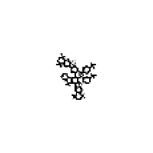 CC(C)(C)c1ccc(N2B3c4cc(C(C)(C)C)ccc4-n4c5cc6c(cc5c5c7c(c(c3c54)-c3cc4c(cc32)sc2cc3c(cc24)C(C)(C)CCC3(C)C)-c2ccccc2C7(C)C)C(C)(C)CCC6(C)C)cc1